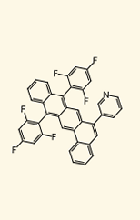 Fc1cc(F)c(-c2c3ccccc3c(-c3c(F)cc(F)cc3F)c3cc4c(cc23)c(-c2cccnc2)cc2ccccc24)c(F)c1